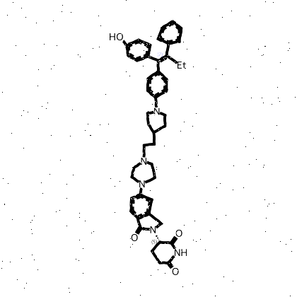 CC/C(=C(/c1ccc(O)cc1)c1ccc(N2CCC(CCN3CCN(c4ccc5c(c4)CN([C@H]4CCC(=O)NC4=O)C5=O)CC3)CC2)cc1)c1ccccc1